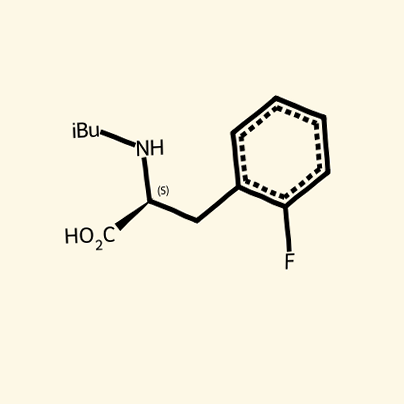 CCC(C)N[C@@H](Cc1ccccc1F)C(=O)O